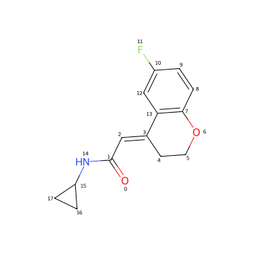 O=C(C=C1CCOc2ccc(F)cc21)NC1CC1